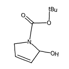 CC(C)(C)OC(=O)N1CC=CC1O